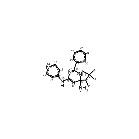 CC(C(C)(C)C)C1(N)N=C(Nc2ccncc2)N=C(c2ccccc2)N1